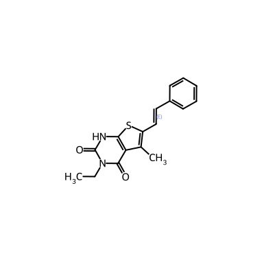 CCn1c(=O)[nH]c2sc(/C=C/c3ccccc3)c(C)c2c1=O